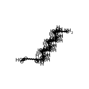 N[C@H]([C]=O)CCCCNC(=O)CNC(=O)[C@H](CO)NC(=O)[C@H](CO)NC(=O)CNC(=O)[C@H](CO)NC(=O)[C@H](CO)NC(=O)CNC(=O)[C@H](CO)NC(=O)[C@H](CO)NC(=O)CNC(=O)[C@H](CO)NC(=O)[C@H](CO)NC(=O)CNC(=O)[C@H](CO)NC(=O)[C@H](CO)NC(=O)CNC(=O)[C@H](CO)NC(=O)[C@H](CO)NC(=O)CC[C@H](NC(=O)CCCCCCCCCCOc1ccc(C(=O)O)cc1)C(=O)O